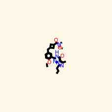 CCCc1nc(C)c2c(=O)[nH]c(-c3cc(CC4CC(C(=O)N(C)OC)C4)ccc3OCC)nn12